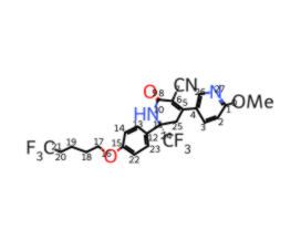 COc1ccc(C2=C(C#N)C(=O)N[C@@](c3ccc(OCCCCC(F)(F)F)cc3)(C(F)(F)F)C2)cn1